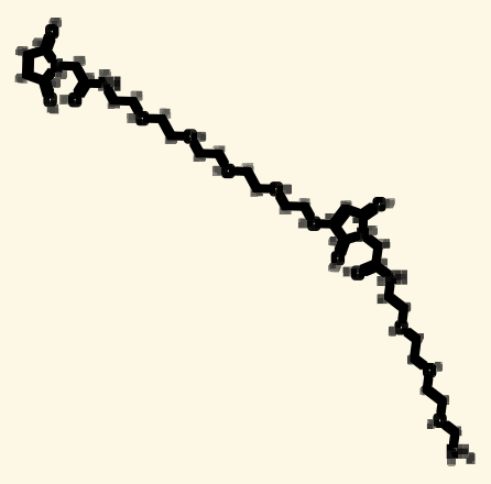 NCOCCOCCOCCNC(=O)CN1C(=O)C=C(OCCOCCOCCOCCOCCNC(=O)CN2C(=O)C=CC2=O)C1=O